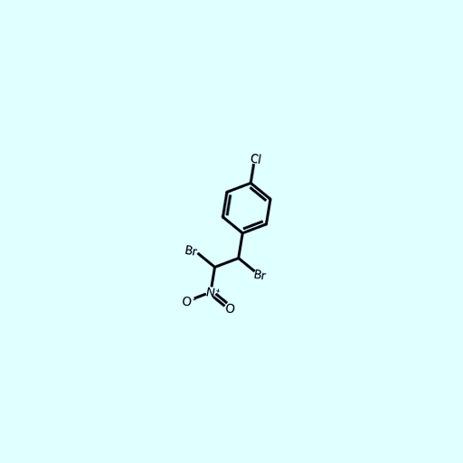 O=[N+]([O-])C(Br)C(Br)c1ccc(Cl)cc1